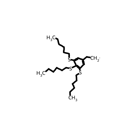 [CH2]Cc1cc(SCCCCCC)c(SCCCCCC)c(SCCCCCC)c1